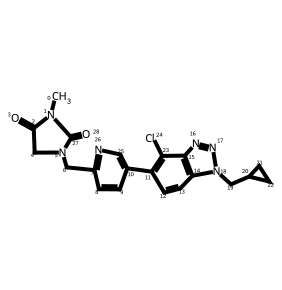 CN1C(=O)CN(Cc2ccc(-c3ccc4c(nnn4CC4CC4)c3Cl)cn2)C1=O